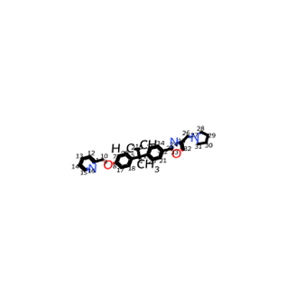 CC(C)C(C)(c1ccc(OCc2ccccn2)cc1)c1ccc(-c2nc(CN3CCCC3)co2)cc1